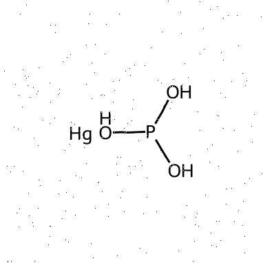 OP(O)O.[Hg]